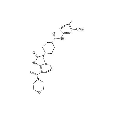 COc1cc(NC(=O)[C@H]2CC[C@@H](n3c(=O)[nH]c4c(C(=O)N5CCOCC5)cccc43)CC2)ccc1C